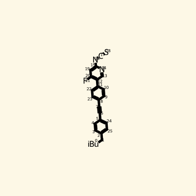 CCC(C)Cc1ccc(C#Cc2ccc(-c3cnc(N=C=S)cc3F)cc2)cc1